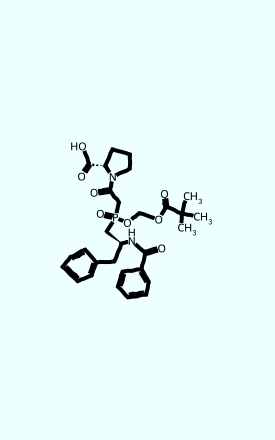 CC(C)(C)C(=O)OCOP(=O)(CC(=O)N1CCC[C@H]1C(=O)O)C[C@H](Cc1ccccc1)NC(=O)c1ccccc1